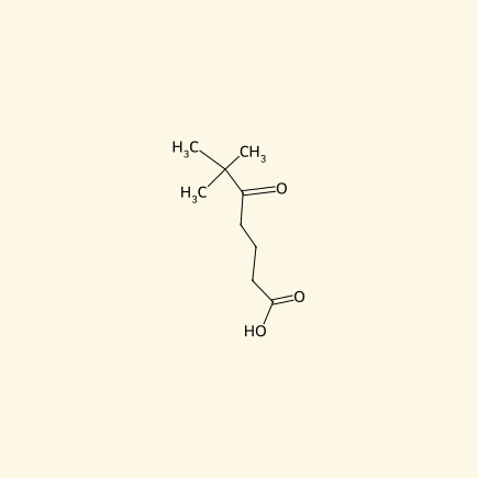 CC(C)(C)C(=O)CCCC(=O)O